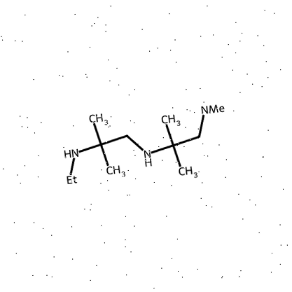 CCNC(C)(C)CNC(C)(C)CNC